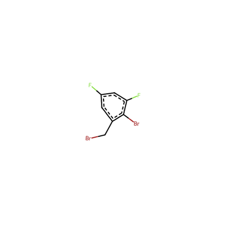 Fc1cc(F)c(Br)c(CBr)c1